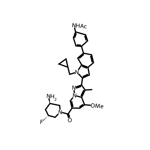 COc1cc(C(=O)N2C[C@H](N)C[C@@H](F)C2)cn2nc(-c3cc4ccc(-c5ccc(NC(C)=O)cc5)cc4n3CC3CC3)c(C)c12